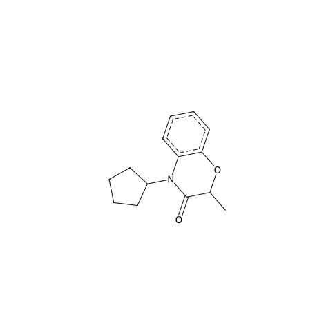 CC1Oc2ccccc2N(C2CCCC2)C1=O